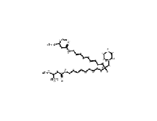 CCCCCC(CCCCC)CC(=O)OCCCCCCCCCC(C)(CCCCCCCCCOC(=O)CC(CCCCC)CCCCC)CN1CCOCC1